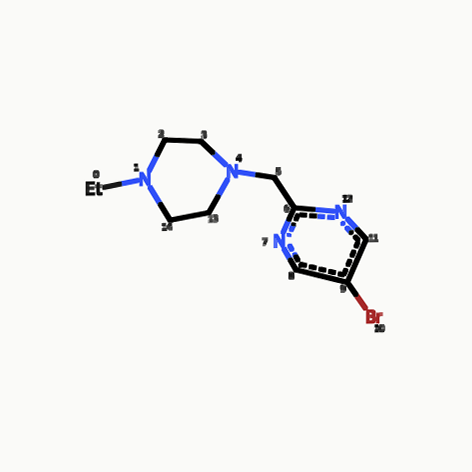 CCN1CCN(Cc2ncc(Br)cn2)CC1